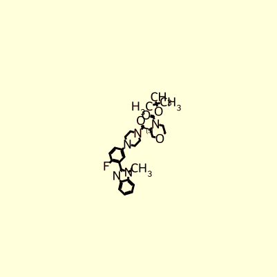 Cn1c(-c2cc(N3CCN(C(=O)[C@@H]4COCCN4C(=O)OC(C)(C)C)CC3)ccc2F)nc2ccccc21